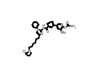 CC(C)(C)c1cc(-c2cccc(C(=O)Nc3nc(CCCCCCN4CCCC4=O)cn3-c3ccccc3)c2)cnc1OC(N)=O